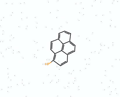 [PH]c1ccc2ccc3cccc4ccc1c2c34